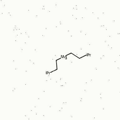 CC(C)C[CH2][Mg][CH2]CC(C)C